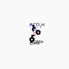 COc1ccc(CCO[C@H]2CCCC[C@@H]2N2CCC([C@H](C(=O)O)N(C)C)C2)cc1OC